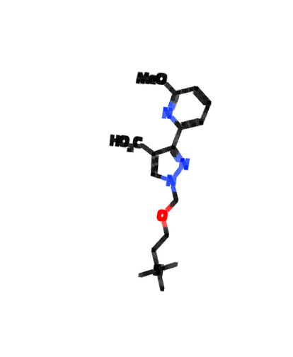 COc1cccc(-c2nn(COCC[Si](C)(C)C)cc2C(=O)O)n1